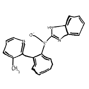 Cc1cccnc1-c1ccccc1[S+]([O-])c1nc2ccccc2[nH]1